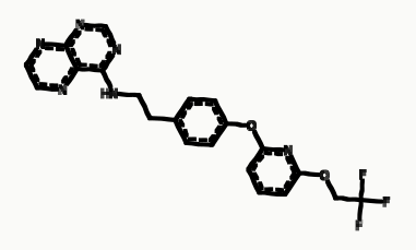 FC(F)(F)COc1cccc(Oc2ccc(CCNc3ncnc4nccnc34)cc2)n1